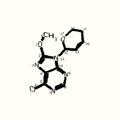 COc1nc2c(Cl)ncnc2n1C1CCCCO1